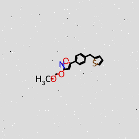 COCOc1cc(-c2ccc(Cc3cccs3)cc2)on1